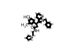 Cc1cccc(C(CC(=O)NCCN2CCCC2)c2cn(Cc3ccccc3)c3ncccc23)c1.Cl